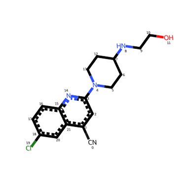 N#Cc1cc(N2CCC(NCCO)CC2)nc2ccc(Cl)cc12